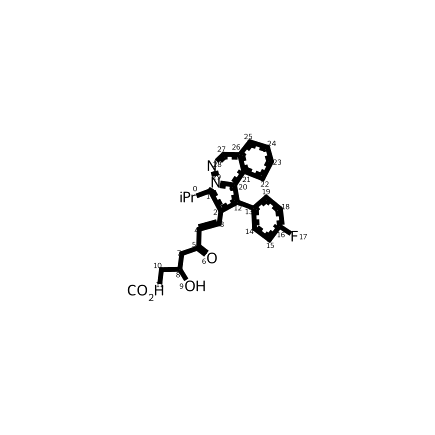 CC(C)c1c(/C=C/C(=O)CC(O)CC(=O)O)c(-c2ccc(F)cc2)c2c3ccccc3cnn12